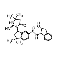 CC1(C)CC(=O)N([C@@H]2CC(C)(C)c3ccc(C(=O)N[C@@H]4c5ccccc5C[C@H]4O)cc32)C(=N)N1